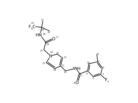 Cc1cc(F)cc(C(=O)NCC2=CCN(CC(=O)NC(C)(C)C(F)(F)F)C=C2)c1